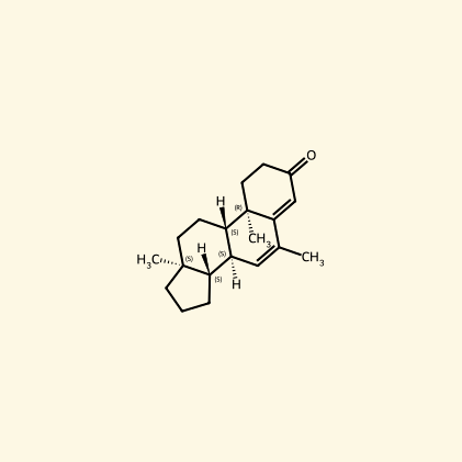 CC1=C[C@H]2[C@@H]3CCC[C@@]3(C)CC[C@@H]2[C@@]2(C)CCC(=O)C=C12